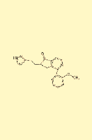 COc1ccccc1-c1nccc2c1CC(CCc1cc[nH]n1)C2=O